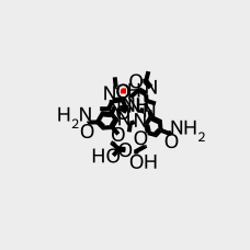 CCc1nc(C)oc1C(=O)Nc1nc2cc(C(N)=O)cc(OCCO)c2n1C(C)n1c(NC(=O)c2oc(C)nc2CC)nc2cc(C(N)=O)cc(OCC(=O)O)c21